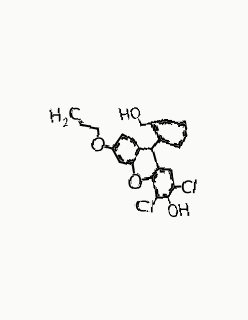 C=CCOc1ccc2c(c1)Oc1c(cc(Cl)c(O)c1Cl)C2c1ccccc1CO